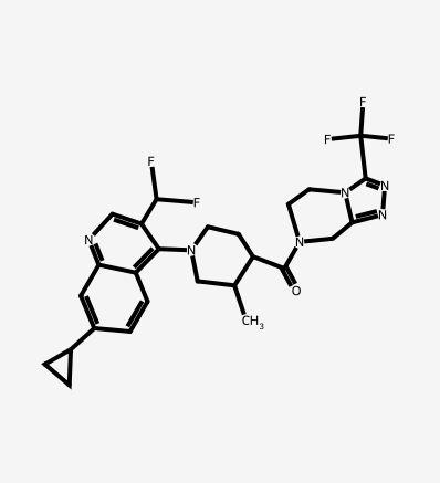 CC1CN(c2c(C(F)F)cnc3cc(C4CC4)ccc23)CCC1C(=O)N1CCn2c(nnc2C(F)(F)F)C1